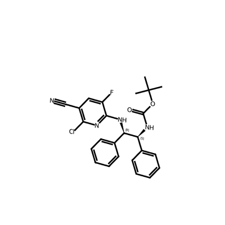 CC(C)(C)OC(=O)N[C@@H](c1ccccc1)[C@H](Nc1nc(Cl)c(C#N)cc1F)c1ccccc1